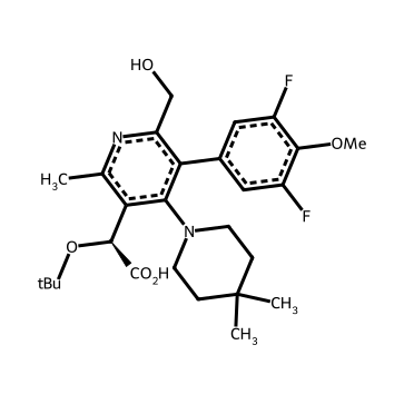 COc1c(F)cc(-c2c(CO)nc(C)c([C@H](OC(C)(C)C)C(=O)O)c2N2CCC(C)(C)CC2)cc1F